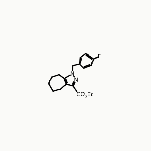 CCOC(=O)c1nn(Cc2ccc(F)cc2)c2c1CCCCC2